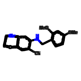 COc1ccc(CNc2cc3ncccc3cc2C#N)c(OC)c1